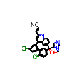 Cn1cncc1C(O)(c1ccc(Cl)cc1)c1ccc2nc(C=CC#N)cc(-c3cccc(Cl)c3)c2c1